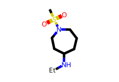 CCNC1CCCN(S(C)(=O)=O)CC1